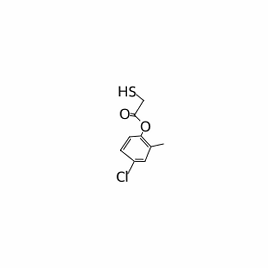 Cc1cc(Cl)ccc1OC(=O)CS